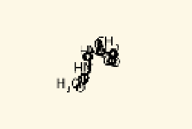 COc1nc(-c2cccc3c2OCCO3)ccc1Nc1cccc(CNCC2CCN(C(C)=O)CC2)c1